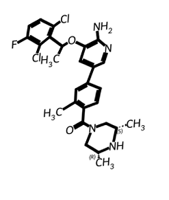 Cc1cc(-c2cnc(N)c(OC(C)c3c(Cl)ccc(F)c3Cl)c2)ccc1C(=O)N1C[C@@H](C)N[C@@H](C)C1